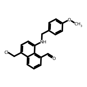 COc1ccc(CNc2ccc(CCl)c3cccc(C=O)c23)cc1